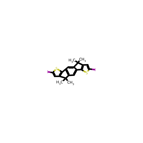 CC1(C)c2cc3c(cc2-c2sc(I)cc21)C(C)(C)c1cc(I)sc1-3